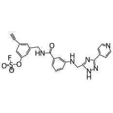 C#Cc1cc(CNC(=O)c2cccc(NCc3nc(-c4ccncc4)n[nH]3)c2)cc(OS(=O)(=O)F)c1